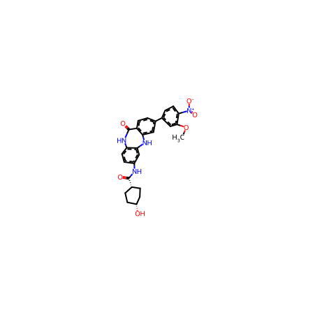 COc1cc(-c2ccc3c(c2)Nc2cc(NC(=O)[C@H]4CC[C@@H](O)CC4)ccc2NC3=O)ccc1[N+](=O)[O-]